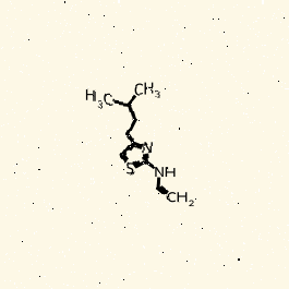 C=CNc1nc(CCC(C)C)cs1